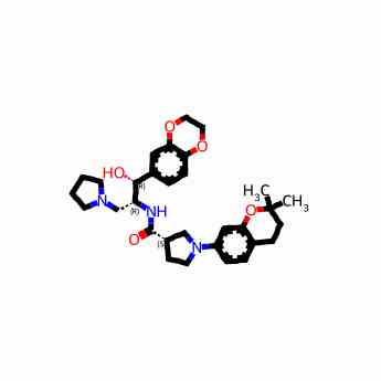 CC1(C)CCc2ccc(N3CC[C@H](C(=O)N[C@H](CN4CCCC4)[C@H](O)c4ccc5c(c4)OCCO5)C3)cc2O1